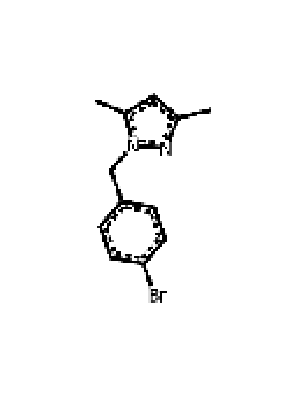 Cc1cc(C)n(Cc2ccc(Br)cc2)n1